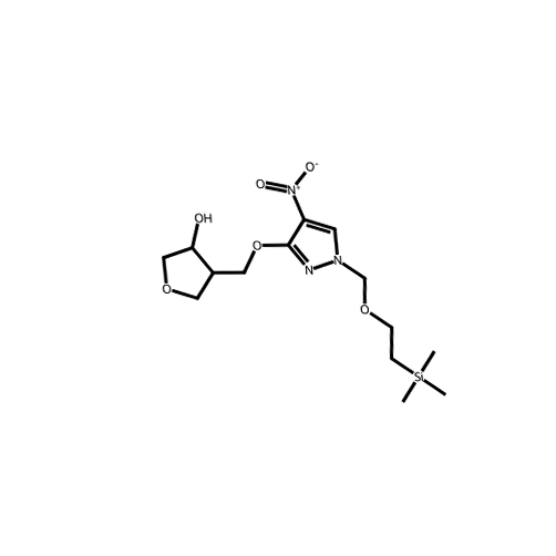 C[Si](C)(C)CCOCn1cc([N+](=O)[O-])c(OCC2COCC2O)n1